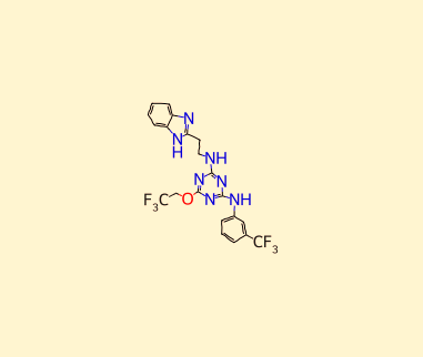 FC(F)(F)COc1nc(NCCc2nc3ccccc3[nH]2)nc(Nc2cccc(C(F)(F)F)c2)n1